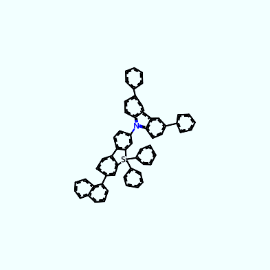 c1ccc(-c2ccc3c(c2)c2cc(-c4ccccc4)ccc2n3-c2ccc3c(c2)[Si](c2ccccc2)(c2ccccc2)c2cc(-c4cccc5ccccc45)ccc2-3)cc1